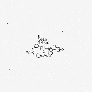 Cc1cc(OC[C@H](C)CC2CCN(CC(=O)Nc3ccc4c(C5CCC(=O)NC5=O)nn(C)c4c3)CC2)ccc1B1OC(C)(C)C(C)(C)O1